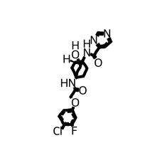 O=C(COc1ccc(Cl)c(F)c1)NC12CCC(NC(=O)c3ccncn3)(CC1)[C@@H](O)C2